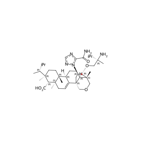 CC(C)[C@@H](C)[C@@]1(C)CC[C@]2(C)[C@H]3CC[C@@H]4[C@@]5(COC[C@@]4(C)[C@@H](OC[C@](C)(N)C(C)C)[C@H](n4ncnc4C(N)=O)C5)C3=CC[C@@]2(C)[C@@H]1C(=O)O